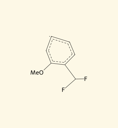 COc1c[c]ccc1C(F)F